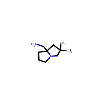 CC1(C)CN2CCCC2(CN)C1